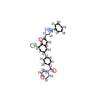 O=C(c1ccc(-c2cc(Cl)c3oc(CCNc4ccccc4)cc3c2)cc1)N1CCOCC1